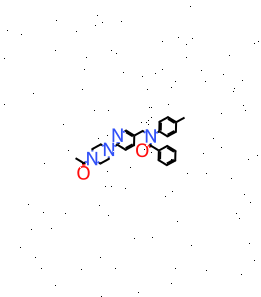 CC(=O)N1CCN(c2ccc(CN(C(=O)c3ccccc3)c3ccc(C)cc3)cn2)CC1